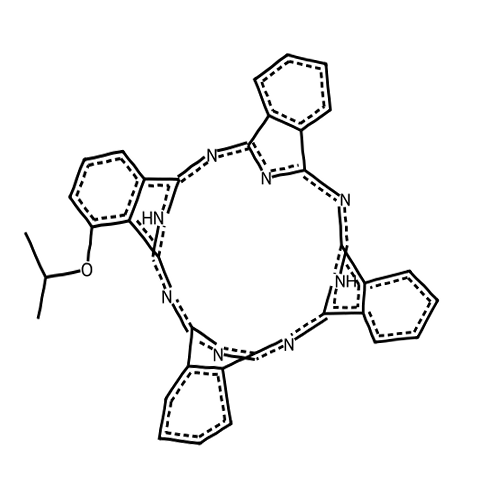 CC(C)Oc1cccc2c3nc4nc(nc5[nH]c(nc6nc(nc([nH]3)c12)-c1ccccc1-6)c1ccccc51)-c1ccccc1-4